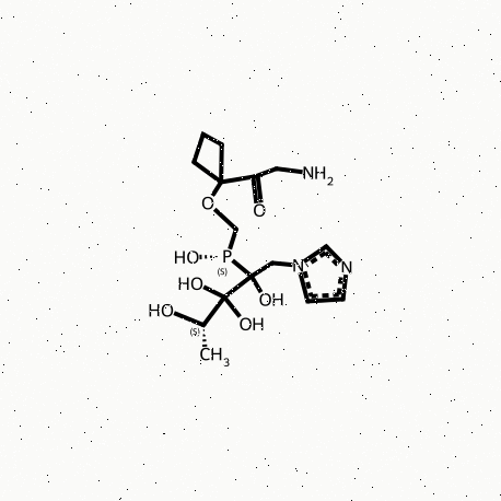 C[C@H](O)C(O)(O)C(O)(Cn1ccnc1)[P@](O)COC1(C(=O)CN)CCC1